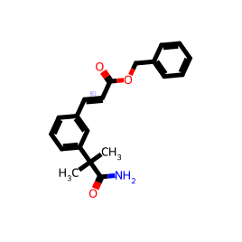 CC(C)(C(N)=O)c1cccc(/C=C/C(=O)OCc2ccccc2)c1